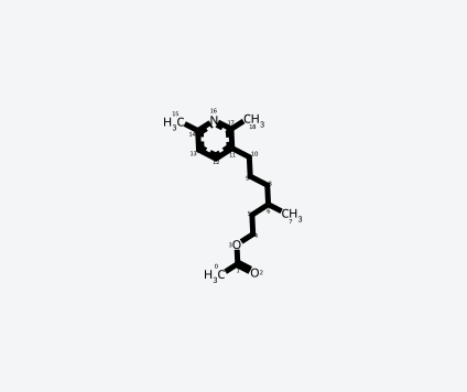 CC(=O)OCCC(C)CCCc1ccc(C)nc1C